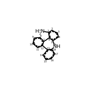 Nc1cccc2c1-c1ccccc1-c1ccccc1N2